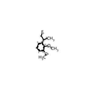 COc1cccc([C](C)CF)c1OC